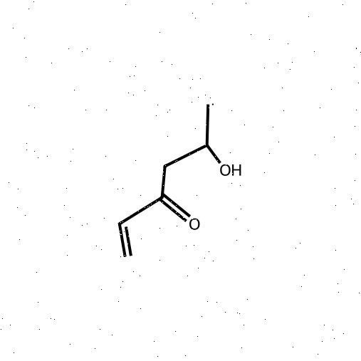 [CH2]C(O)CC(=O)C=C